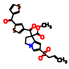 C=CCS(=O)(=O)c1cc2n(c1)CCC2(C(=O)OC)C(=O)c1csc(C(=O)c2ccsc2)c1